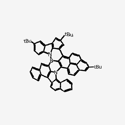 CC(C)(C)c1cc2ccc3c4c5c(c6ccc(c1)c2c36)-n1c2c(cc3ccccc3c2c2ccc3ccccc3c21)B5n1c2ccc(C(C)(C)C)cc2c2cc(C(C)(C)C)cc-4c21